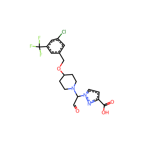 O=CC(N1CCC(OCc2cc(Cl)cc(C(F)(F)F)c2)CC1)n1ccc(C(=O)O)n1